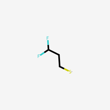 FC(F)CC[S]